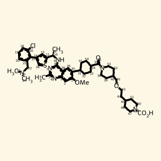 COc1cc2nc(C)nc(N[C@H](C)c3cc(-c4c(Cl)cccc4CN(C)C)cs3)c2cc1C1CCC(C(=O)N2CCC(COCCC3CCN(C(=O)O)CC3)CC2)CC1